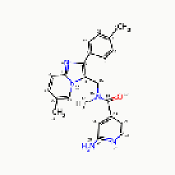 Cc1ccc(-c2nc3ccc(C)cn3c2CN(C)C(=O)c2ccnc(N)c2)cc1